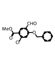 COC(=O)c1cc(C=O)c(OCc2ccccc2)cc1Cl